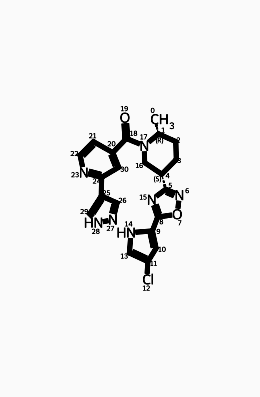 C[C@@H]1CC[C@H](c2noc(-c3cc(Cl)c[nH]3)n2)CN1C(=O)c1ccnc(-c2cn[nH]c2)c1